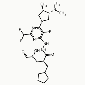 C[C@@H]1CN(c2nc(C(F)F)nc(NNC(=O)[C@@H](CC3CCCC3)CN(O)C=O)c2F)C[C@H]1N(C)C